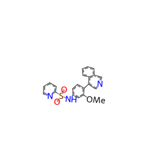 COc1cc(NS(=O)(=O)c2ccccn2)ccc1-c1cncc2ccccc12